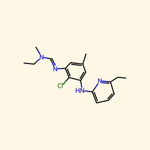 CCc1cccc(Nc2cc(C)cc(N=CN(C)CC)c2Cl)n1